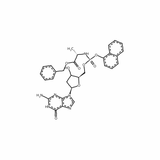 C[C@H](NP(=O)(OC[C@H]1O[C@@H](n2cnc3c(=O)[nH]c(N)nc32)CC1O)Oc1cccc2ccccc12)C(=O)OCc1ccccc1